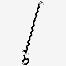 CCC=CCC=CCC=CCC=CCC=CCC=CCCC(=O)NCC1CCCOC1